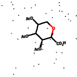 CC(=O)OC1COC(C(=O)O)[C@@H](OC(C)=O)C1OC(C)=O